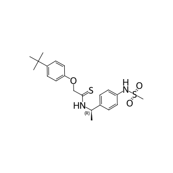 C[C@@H](NC(=S)COc1ccc(C(C)(C)C)cc1)c1ccc(NS(C)(=O)=O)cc1